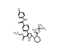 CCOC(=O)c1[nH]c([C@@H]2CCCCN2C(=O)OC(C)(C)C)nc1-c1ccc(C(=O)Nc2ccc(Cl)cn2)cc1